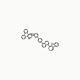 C1=CCCC(c2cccc3c(-c4ccc(-c5cccc(C6C=Nc7c(c8ccccc8c8ccccc78)N6)c5)cc4)cccc23)=c2oc3ccccc3c2=1